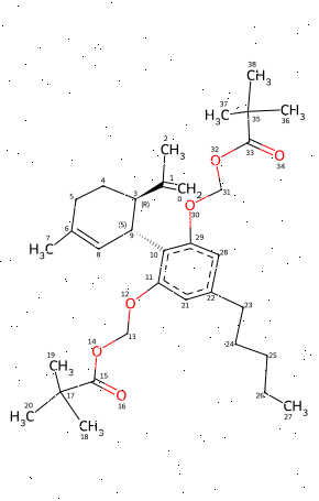 C=C(C)[C@@H]1CCC(C)=C[C@H]1c1c(OCOC(=O)C(C)(C)C)cc(CCCCC)cc1OCOC(=O)C(C)(C)C